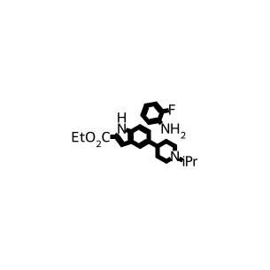 CCOC(=O)c1cc2cc(C3CCN(C(C)C)CC3)ccc2[nH]1.Nc1ccccc1F